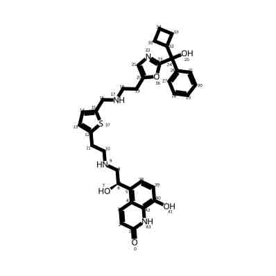 O=c1ccc2c([C@@H](O)CNCCc3ccc(CNCCc4cnc(C(O)(c5ccccc5)C5CCC5)o4)s3)ccc(O)c2[nH]1